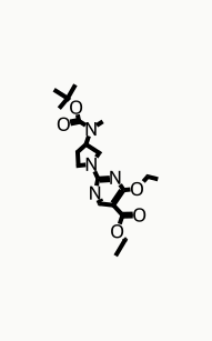 CCOC(=O)c1cnc(N2CCC(N(C)C(=O)OC(C)(C)C)C2)nc1OCC